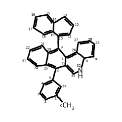 Cc1cccc(-c2c3c(c(-c4cccc5ccccc45)c4ccccc24)=C2C=CC=CC2NC=3)c1